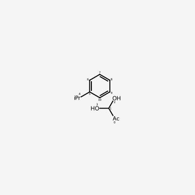 CC(=O)C(O)O.CC(C)c1ccccc1